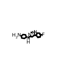 N[C@H]1CC[C@H](Nc2cc3c4ccc(F)cc4nn3cn2)CC1